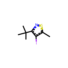 Cc1snc(C(C)(C)C)c1I